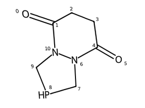 O=C1CCC(=O)N2CPCN12